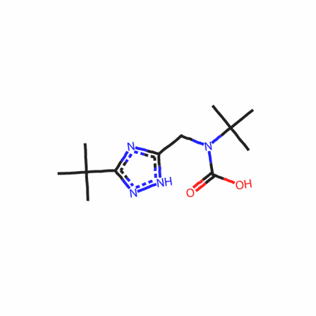 CC(C)(C)c1n[nH]c(CN(C(=O)O)C(C)(C)C)n1